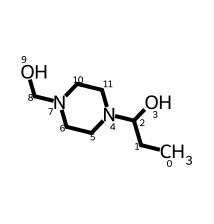 CCC(O)N1CCN(CO)CC1